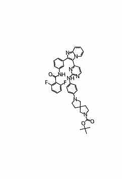 CC(C)(C)OC(=O)N1CCC2(CCN(c3ccc(Nc4nccc(-c5c(-c6cccc(NC(=O)c7c(F)cccc7F)c6)nc6ccccn56)n4)cc3)C2)C1